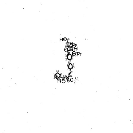 CC(C)Oc1cc(-c2ccc(CCCN(C[C@H](O)c3cccnc3)C(=O)O)cc2)ccc1C(=O)NS(=O)(=O)CCCO